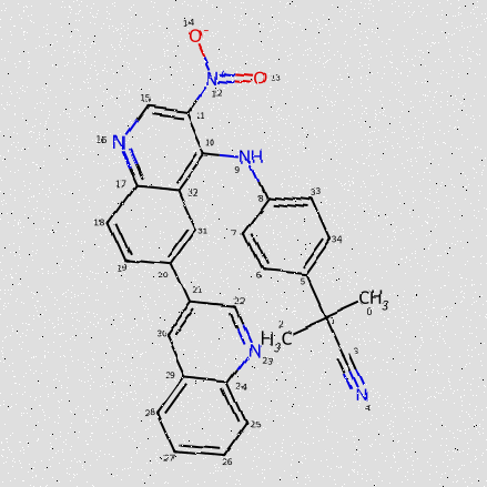 CC(C)(C#N)c1ccc(Nc2c([N+](=O)[O-])cnc3ccc(-c4cnc5ccccc5c4)cc23)cc1